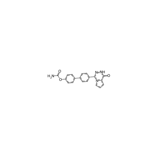 NC(=O)Oc1ccc(-c2ccc(-c3n[nH]c(=O)c4cccn34)cc2)cc1